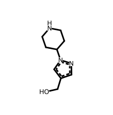 OCc1cnn(C2CCNCC2)c1